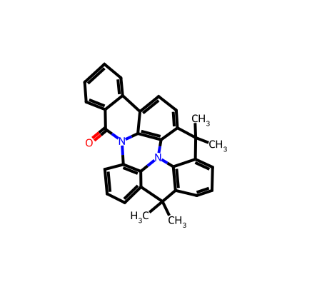 CC1(C)c2cccc3c2N2c4c1cccc4C(C)(C)c1ccc4c5ccccc5c(=O)n-3c4c12